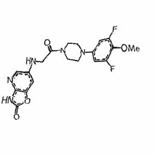 COc1c(F)cc(N2CCN(C(=O)CNc3cnc4[nH]c(=O)oc4c3)CC2)cc1F